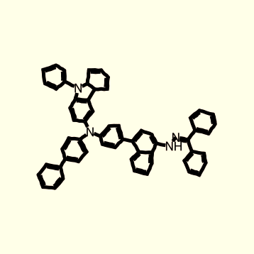 C1=CC2c3cc(N(c4ccc(-c5ccccc5)cc4)c4ccc(-c5ccc(NN=C(c6ccccc6)c6ccccc6)c6ccccc56)cc4)ccc3N(c3ccccc3)C2C=C1